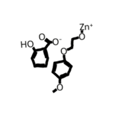 COc1ccc(OCC[O][Zn+])cc1.O=C([O-])c1ccccc1O